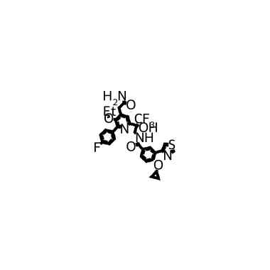 CCOc1c(CC(N)=O)cc([C@@](O)(CNC(=O)c2ccc(OC3CC3)c(-c3cscn3)c2)C(F)(F)F)nc1-c1ccc(F)cc1